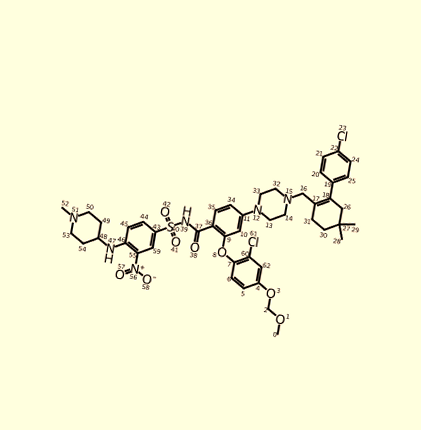 COCOc1ccc(Oc2cc(N3CCN(CC4=C(c5ccc(Cl)cc5)CC(C)(C)CC4)CC3)ccc2C(=O)NS(=O)(=O)c2ccc(NC3CCN(C)CC3)c([N+](=O)[O-])c2)c(Cl)c1